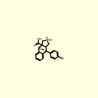 Cl.O=C(O)C12CNCC1C1(c3ccc(Br)cc3)CCC2c2ccccc21